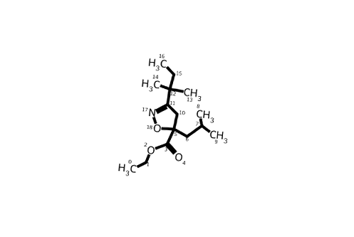 CCOC(=O)C1(CC(C)C)CC(C(C)(C)CC)=NO1